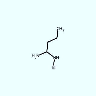 CCCC(N)NBr